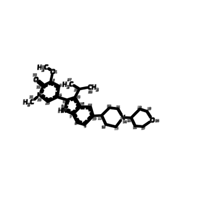 COc1cc(-c2[nH]c3ccc(C4CCN(C5CCOCC5)CC4)cc3c2C(C)C)cn(C)c1=O